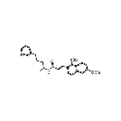 CCCCc1c(/C=C/C(=O)NC(C)CCCc2cccnc2)ccc2cc(OC)ccc12